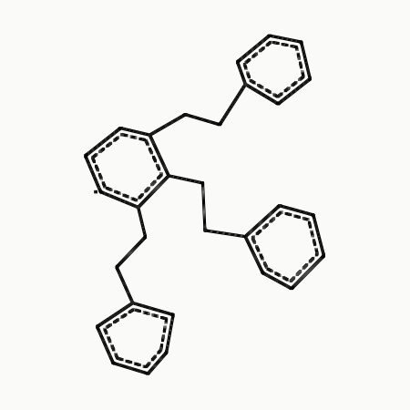 [c]1ccc(CCc2ccccc2)c(CCc2ccccc2)c1CCc1ccccc1